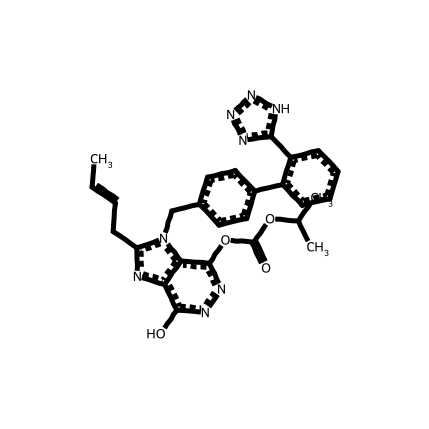 CC=CCc1nc2c(O)nnc(OC(=O)OC(C)C)c2n1Cc1ccc(-c2ccccc2-c2nnn[nH]2)cc1